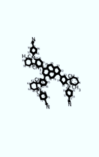 CC12CCCCC1(C)N(c1ccc(C#N)cc1)c1ccc(-c3ccc4ccc5c(-c6ccc7c(c6)C6(C)CCCCC6(C)N7c6ccc(C#N)cc6)cc(-c6ccc7c(c6)C6(C)CCCCC6(C)N7c6ccc(C#N)cc6)c6ccc3c4c56)cc12